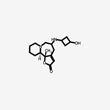 C[C@]12OC(=O)C=C1CC(NC1CC(O)C1)CN1CCCC[C@@H]12